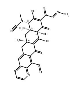 CN(C#N)[C@@H]1C(O)=C(C(=O)N=NN)C(=O)[C@@]2(O)C(O)=C3C(=O)c4c(cc5nccnc5c4N=O)C[C@@]3(N)C[C@@]12N